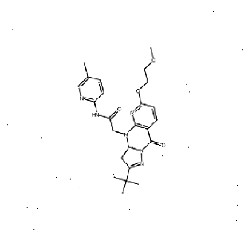 COCCOc1ccc2c(n1)N(CC(=O)Nc1ccc(F)cn1)C1CC(C(C)(C)C)=NN1C2=O